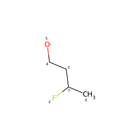 CC(F)CC[O]